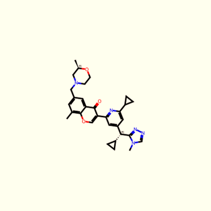 Cc1cc(CN2CCO[C@H](C)C2)cc2c(=O)c(-c3cc([C@H](c4nncn4C)C4CC4)cc(C4CC4)n3)coc12